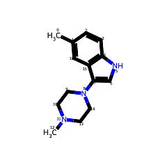 Cc1ccc2[nH]cc(N3CCN(C)CC3)c2c1